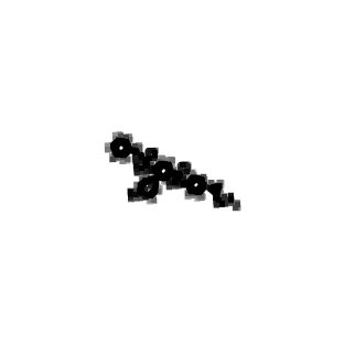 N[C@@H]1C[C@H]1c1ccc(NC(=O)c2ccc(NC(=O)OCc3ccccc3)c(N3CCNCC3)c2)cc1